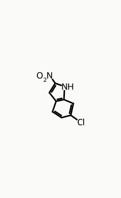 O=[N+]([O-])c1cc2ccc(Cl)cc2[nH]1